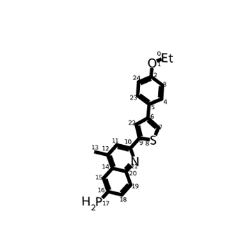 CCOc1ccc(-c2csc(-c3cc(C)c4cc(P)ccc4n3)c2)cc1